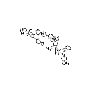 Cc1cc(S(=O)(=O)Nc2ccc(N3CCN(c4cccc(-c5c(-c6ccc(Cl)cc6)cn(C)c5C(=O)O)c4)CC3)cc2)ccc1N[C@H](CCN1CCC(O)CC1)CSc1ccccc1